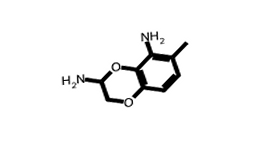 Cc1ccc2c(c1N)OC(N)CO2